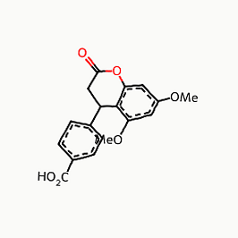 COc1cc(OC)c2c(c1)OC(=O)CC2c1ccc(C(=O)O)cc1